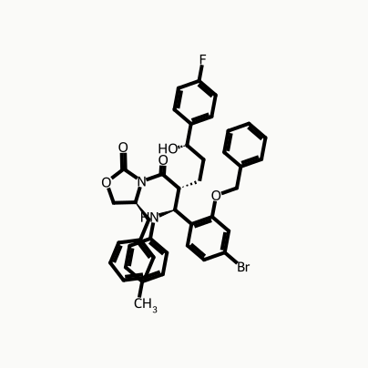 Cc1ccc(N[C@H](c2ccc(Br)cc2OCc2ccccc2)[C@@H](CC[C@H](O)c2ccc(F)cc2)C(=O)N2C(=O)OC[C@@H]2Cc2ccccc2)cc1